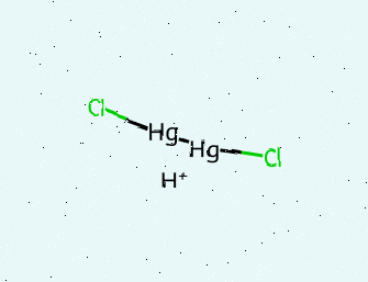 [Cl][Hg][Hg][Cl].[H+]